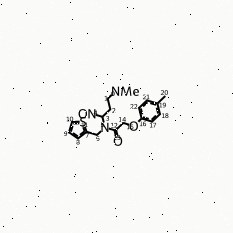 CNCCC(N=O)N(Cc1cccs1)C(=O)COc1ccc(C)cc1